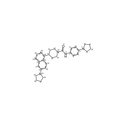 O=C(Nc1ccc(N2CCCC2)cc1)N1CCC(c2ncnc3cc(N4CCCC4)ccc23)CC1